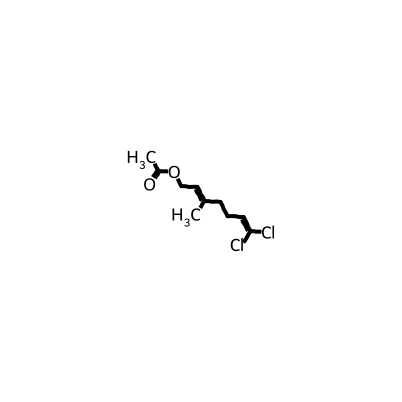 CC(=O)OC/C=C(\C)CCC=C(Cl)Cl